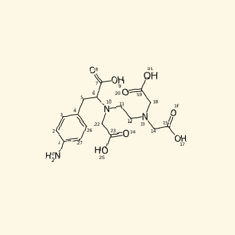 Nc1ccc(CC(C(=O)O)N(CCN(CC(=O)O)CC(=O)O)CC(=O)O)cc1